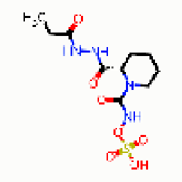 CCC(=O)NNC(=O)[C@@H]1CCCCN1C(=O)NOS(=O)(=O)O